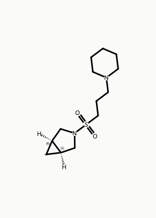 O=S(=O)(CCCN1CCCCC1)N1C[C@H]2[CH][C@H]2C1